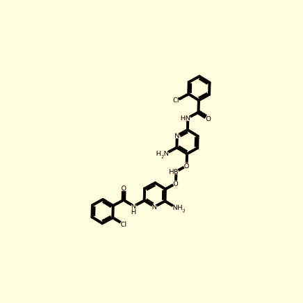 Nc1nc(NC(=O)c2ccccc2Cl)ccc1OBOc1ccc(NC(=O)c2ccccc2Cl)nc1N